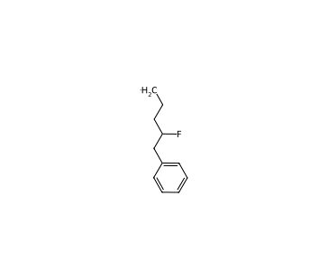 [CH2]CCC(F)Cc1ccccc1